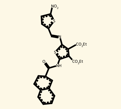 CCOC(=O)c1c(N=Cc2ccc([N+](=O)[O-])s2)sc(NC(=O)c2ccc3ccccc3c2)c1C(=O)OCC